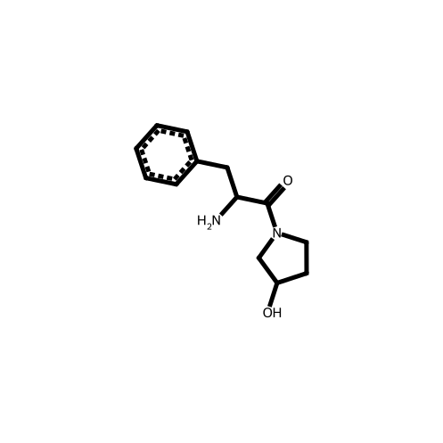 NC(Cc1ccccc1)C(=O)N1CCC(O)C1